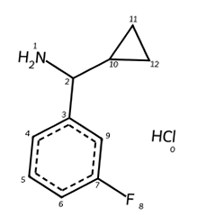 Cl.NC(c1cccc(F)c1)C1CC1